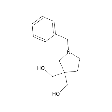 OCC1(CO)CCN(Cc2ccccc2)C1